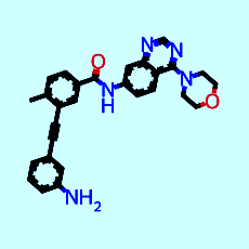 Cc1ccc(C(=O)Nc2ccc3c(N4CCOCC4)ncnc3c2)cc1C#Cc1cccc(N)c1